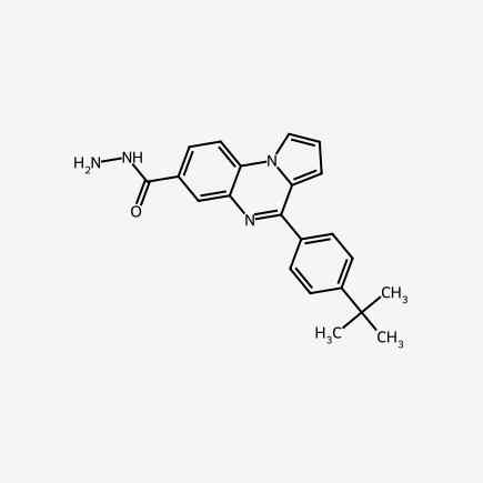 CC(C)(C)c1ccc(-c2nc3cc(C(=O)NN)ccc3n3cccc23)cc1